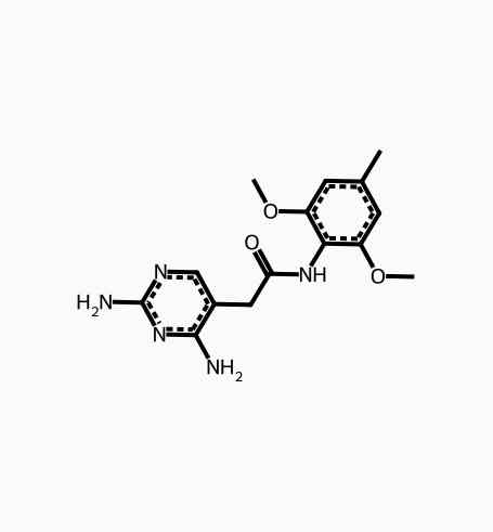 COc1cc(C)cc(OC)c1NC(=O)Cc1cnc(N)nc1N